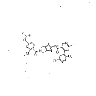 COc1cnc(Cl)cc1-c1cc(C)ncc1C(=O)Nc1nc2c(s1)CN(C(=O)c1ccc(OC(F)F)nc1Cl)C2